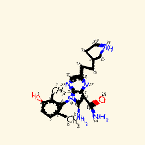 Cc1ccc(O)c(C)c1-n1c(N)c(C(N)=O)c2nc(CCC3CCNC3)cnc21